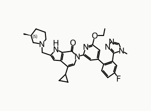 CCOc1cc(-c2ccc(F)cc2-c2nncn2C)cc(-n2cc(C3CC3)c3cc(CN4CCC[C@H](C)C4)[nH]c3c2=O)n1